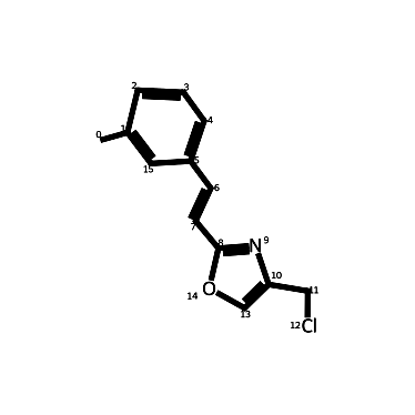 Cc1cccc(C=Cc2nc(CCl)co2)c1